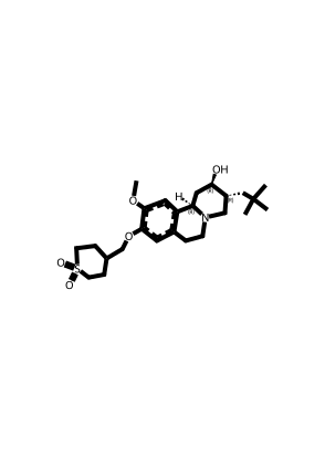 COc1cc2c(cc1OCC1CCS(=O)(=O)CC1)CCN1C[C@@H](CC(C)(C)C)[C@H](O)C[C@H]21